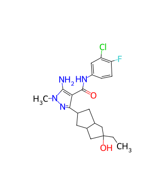 CCC1(O)CC2CC(c3nn(C)c(N)c3C(=O)Nc3ccc(F)c(Cl)c3)CC2C1